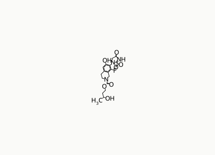 CC(O)CCOC(=O)N1CCc2cc(O)c(N3CC(=O)NS3(=O)=O)c(F)c2C1